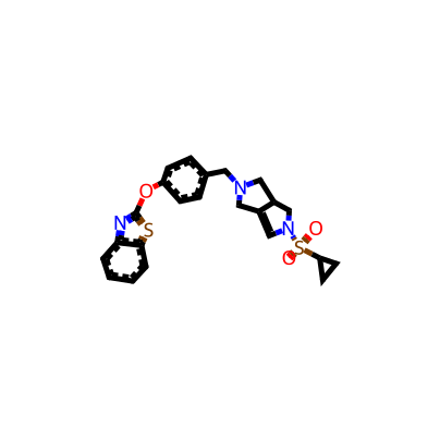 O=S(=O)(C1CC1)N1C=C2CN(Cc3ccc(Oc4nc5ccccc5s4)cc3)CC2C1